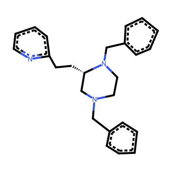 c1ccc(CN2CCN(Cc3ccccc3)[C@@H](CCc3ccccn3)C2)cc1